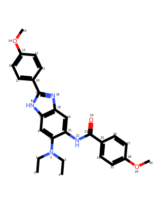 CCN(CC)c1cc2[nH]c(-c3ccc(OC)cc3)nc2cc1NC(=O)c1ccc(OC)cc1